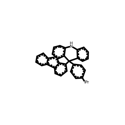 CC(C)c1ccc(C2(c3cccc4c3oc3ccccc34)c3ccccc3Nc3ccccc32)cc1